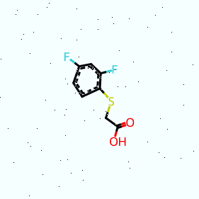 O=C(O)CSc1ccc(F)cc1F